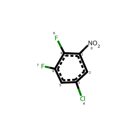 O=[N+]([O-])c1cc(Cl)cc(F)c1F